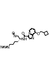 [N-]=[N+]=NCCCC[C@H](CN=O)NC(=O)c1cnc2c(OCC3CCC3)cccn12